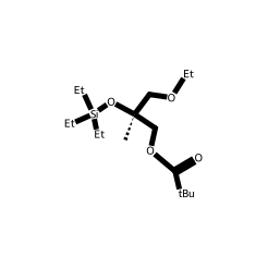 CCOC[C@@](C)(COC(=O)C(C)(C)C)O[Si](CC)(CC)CC